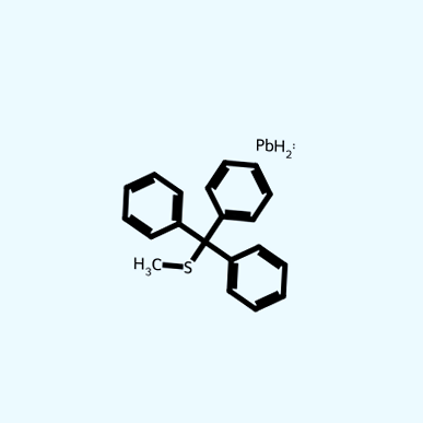 CSC(c1ccccc1)(c1ccccc1)c1ccccc1.[PbH2]